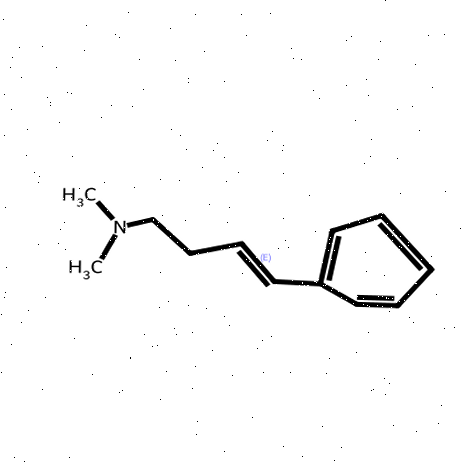 CN(C)CC/C=C/c1ccccc1